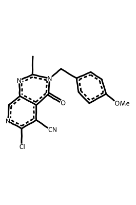 COc1ccc(Cn2c(C)nc3cnc(Cl)c(C#N)c3c2=O)cc1